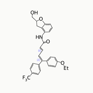 CCOc1ccc(/C(=C\C=C\C(=O)Nc2cccc3c2CC(CO)O3)c2ccc(C(F)(F)F)cc2)cc1